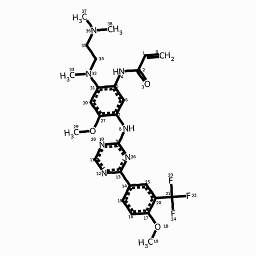 C=CC(=O)Nc1cc(Nc2ncnc(-c3ccc(OC)c(C(F)(F)F)c3)n2)c(OC)cc1N(C)CCN(C)C